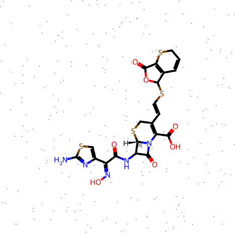 Nc1nc(C(=NO)C(=O)NC2C(=O)N3C(C(=O)O)=C(C=CSC4OC(=O)C5=C4C=CCS5)CS[C@@H]23)cs1